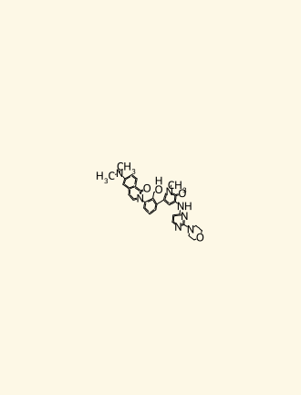 CN(C)c1ccc2c(=O)n(-c3cccc(-c4cc(Nc5ccnc(N6CCOCC6)n5)c(=O)n(C)c4)c3CO)ccc2c1